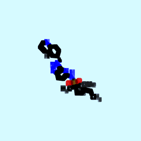 C/C=C(\C=C/C(C)(C)S(=O)(=O)Nc1ccc2nnn(C[C@H]3CCC4N=CC=C[C@H]4C3)c2n1)OC